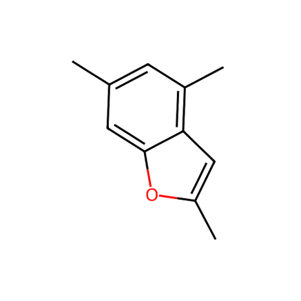 Cc1cc(C)c2cc(C)oc2c1